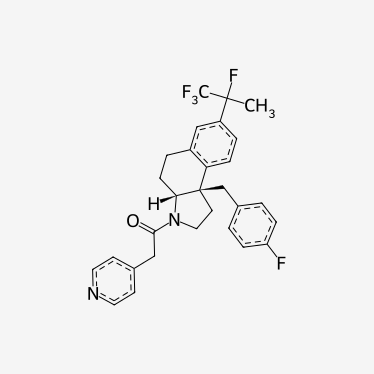 CC(F)(c1ccc2c(c1)CC[C@H]1N(C(=O)Cc3ccncc3)CC[C@@]21Cc1ccc(F)cc1)C(F)(F)F